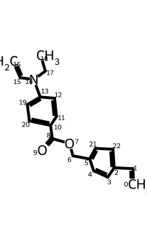 C=Cc1ccc(COC(=O)c2ccc(N(C=C)CC)cc2)cc1